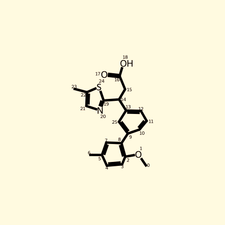 COc1ccc(C)cc1-c1cccc(C(CC(=O)O)c2ncc(C)s2)c1